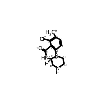 Cc1ccc2c(c1Cl)C(=O)N[C@@H]1CNCCN21